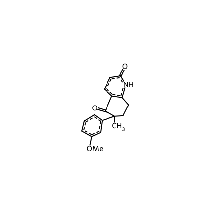 COc1cccc(C2(C)CCc3[nH]c(=O)ccc3C2=O)c1